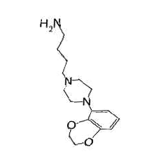 NCCCCN1CCN(c2cccc3c2OCCO3)CC1